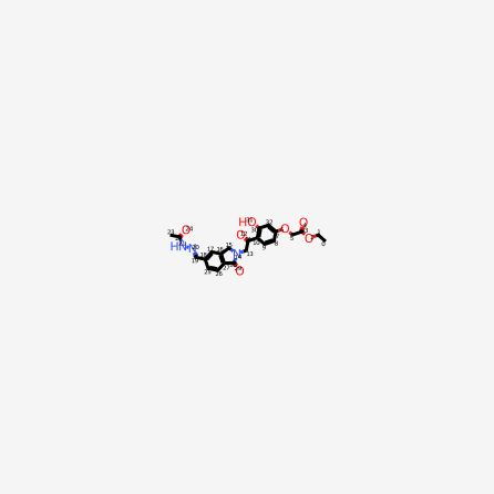 CCOC(=O)COc1ccc(C(=O)CN2Cc3cc(C=NNC(C)=O)ccc3C2=O)c(O)c1